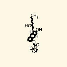 CCCCC[C@@H](O)CC[C@@H]1[C@H]2Cc3cccc(OCC(=O)N4CCOC4=O)c3C[C@H]2C[C@H]1O